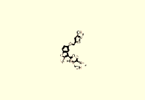 Cc1cc(COc2ccc3oc(C)c(C(=O)N[C@@H](CO)C(N)=O)c3c2)on1